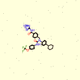 O=C(Nc1nn[nH]n1)c1ccc(CN(C(=O)Nc2ccc(OC(F)(F)F)cc2)c2ccc(C3CCCCC3)cc2)cc1